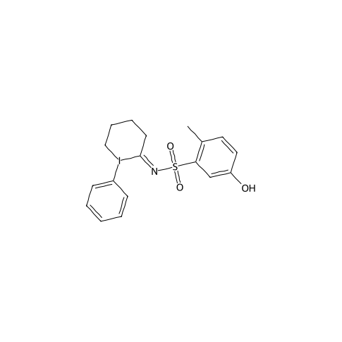 Cc1ccc(O)cc1S(=O)(=O)N=C1CCCCI1c1ccccc1